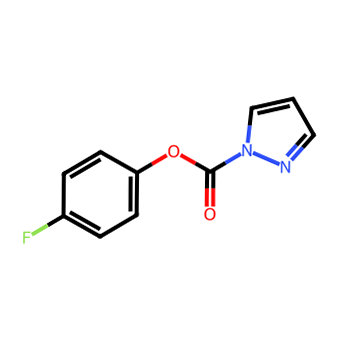 O=C(Oc1ccc(F)cc1)n1cccn1